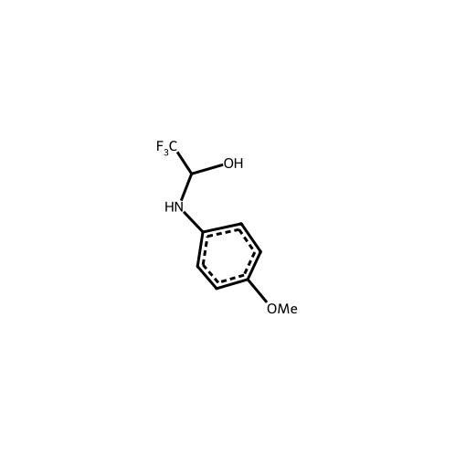 COc1ccc(NC(O)C(F)(F)F)cc1